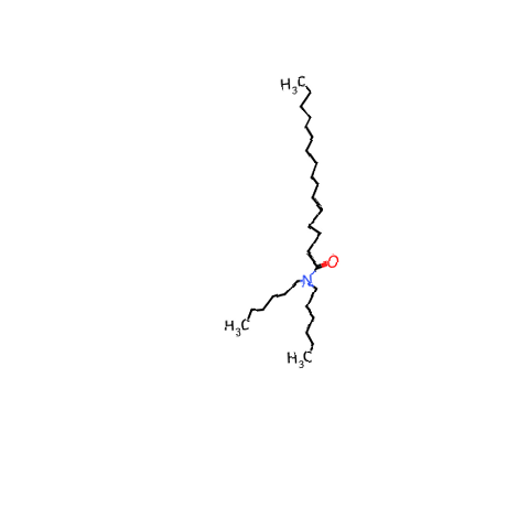 CCCCCCCCCCCCCCCC(=O)N(CCCCCC)CCCCCC